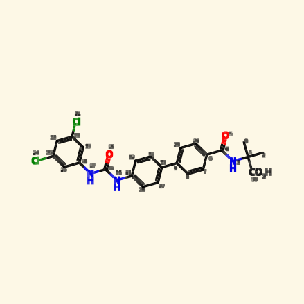 CC(C)(NC(=O)c1ccc(-c2ccc(NC(=O)Nc3cc(Cl)cc(Cl)c3)cc2)cc1)C(=O)O